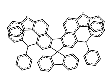 c1ccc(N(c2ccccc2)c2cc3c(c4ccc5oc6ccccc6c5c24)-c2c(cc(N(c4ccccc4)c4ccccc4)c4c2ccc2oc5ccccc5c24)C32c3ccccc3-c3ccccc32)cc1